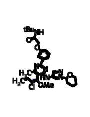 C=C/C(Cl)=C(/OC)c1c(C)nc(-c2cccc(OCC(=O)NC(C)(C)C)c2)nc1Nc1cnn(C2CCCCO2)c1